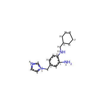 Nc1cc(Cn2ccnc2)ccc1NCC1CCCCC1